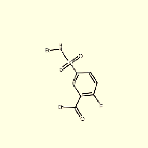 CCNS(=O)(=O)c1ccc(F)c(C(=O)CC)c1